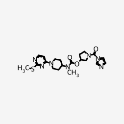 CSc1nccc(N2CCC(N(C)C(=O)OC3CCN(C(=O)n4ccnc4)C3)CC2)n1